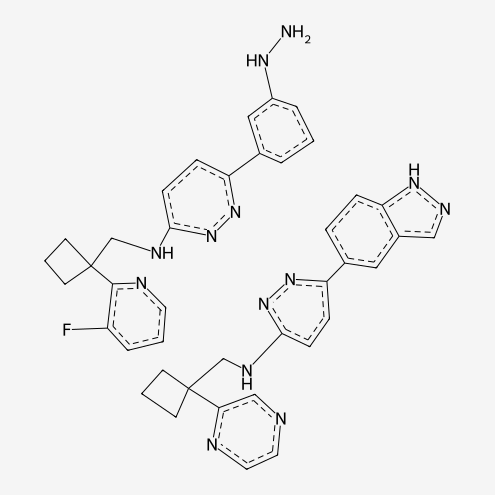 NNc1cccc(-c2ccc(NCC3(c4ncccc4F)CCC3)nn2)c1.c1cnc(C2(CNc3ccc(-c4ccc5[nH]ncc5c4)nn3)CCC2)cn1